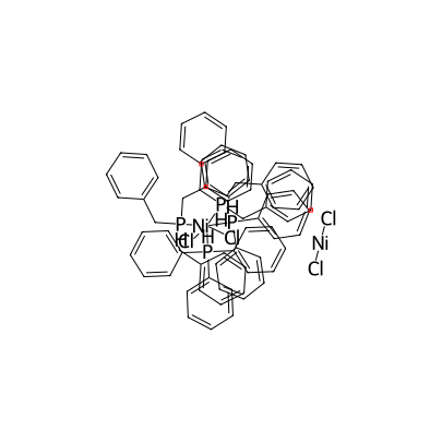 [Cl][Ni]([Cl])([PH](Cc1ccccc1)(Cc1ccccc1)Cc1ccccc1)([PH](Cc1ccccc1)(Cc1ccccc1)Cc1ccccc1)([PH](c1ccccc1)(c1ccccc1)c1ccccc1)[PH](c1ccccc1)(c1ccccc1)c1ccccc1.[Cl][Ni][Cl]